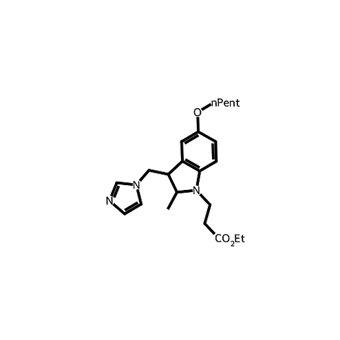 CCCCCOc1ccc2c(c1)C(Cn1ccnc1)C(C)N2CCC(=O)OCC